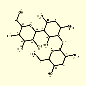 NCC1OC(OC2C(N)CC(N)C(C3OC(CO)C(O)C(N)C3O)C2O)C(N)CC1O